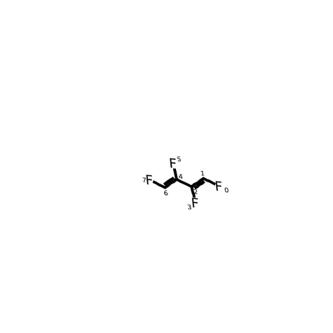 FC=C(F)C(F)=CF